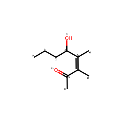 CCCC(O)C(C)=C(C)C(C)=O